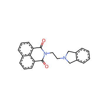 O=C1c2cccc3cccc(c23)C(=O)N1CCN1Cc2ccccc2C1